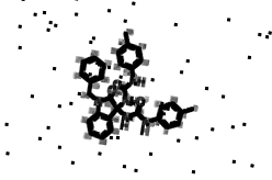 Cc1ccc(NC(=O)NC2(NC(=O)Nc3ccc(C)cc3)C(=O)N(Cc3ccccc3)c3ccccc32)cc1